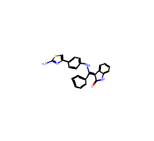 Nc1nc(-c2ccc(NC(=C3C(=O)Nc4ccccc43)c3ccccc3)cc2)cs1